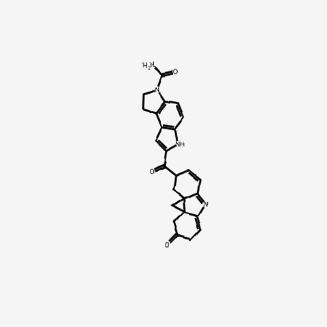 NC(=O)N1CCc2c1ccc1[nH]c(C(=O)C3C=CC4=NC5=CCC(=O)CC56CC46C3)cc21